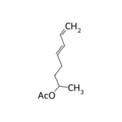 C=CC=CCCC(C)OC(C)=O